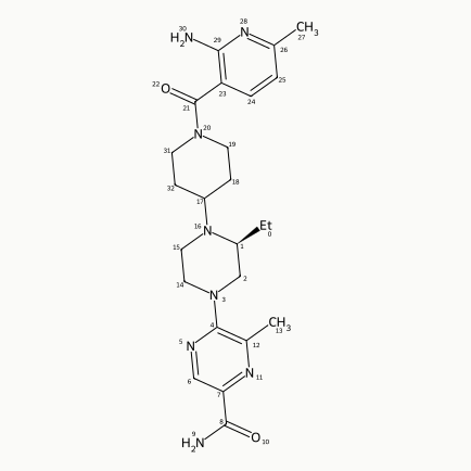 CC[C@H]1CN(c2ncc(C(N)=O)nc2C)CCN1C1CCN(C(=O)c2ccc(C)nc2N)CC1